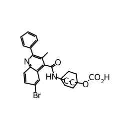 Cc1c(-c2ccccc2)nc2ccc(Br)cc2c1C(=O)NC12CCC(OC(=O)O)(CC1)CC2